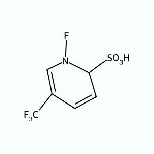 O=S(=O)(O)C1C=CC(C(F)(F)F)=CN1F